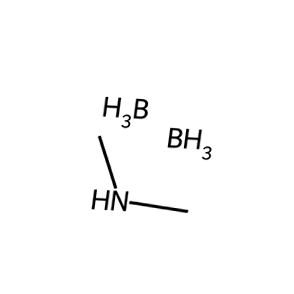 B.B.CNC